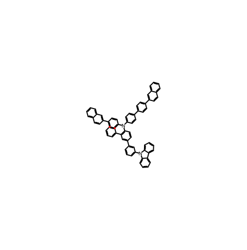 c1ccc(-c2cc(-c3cccc(-n4c5ccccc5c5ccccc54)c3)ccc2N(c2ccc(-c3ccc(-c4ccc5ccccc5c4)cc3)cc2)c2ccc(-c3ccc4ccccc4c3)cc2)cc1